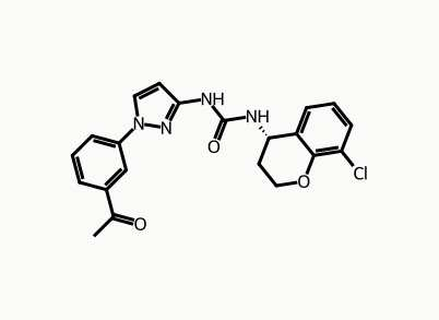 CC(=O)c1cccc(-n2ccc(NC(=O)N[C@H]3CCOc4c(Cl)cccc43)n2)c1